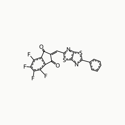 O=C1C(=Cc2nc3sc(-c4ccccc4)nc3s2)C(=O)c2c(F)c(F)c(F)c(F)c21